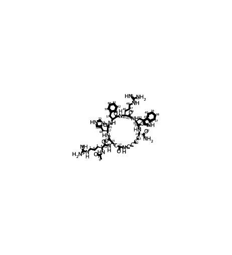 CC(=O)N[C@@H](CCCNC(=N)N)C(=O)N[C@H]1CC(=O)NCCCC[C@@H](C(N)=O)NC(=O)[C@H](Cc2c[nH]c3ccccc23)NC(=O)[C@H](CCCNC(=N)N)NC(=O)C(Cc2ccccc2)NC(=O)[C@H](Cc2c[nH]cn2)NC1=O